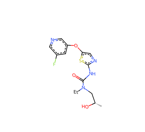 CCN(C[C@H](C)O)C(=O)Nc1ncc(Oc2cncc(F)c2)s1